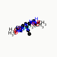 COC(=O)NC(C(=O)N1CCC[C@H]1c1nc2cc([C@H]3CC[C@H](c4ccc5[nH]c([C@@H]6CCCN6C(=O)[C@@H](NC(=O)OC)C(C)C)nc5c4)N3c3cc(F)c(N4CC=C(c5ccccc5)CC4)c(F)c3)ccc2[nH]1)C(C)C